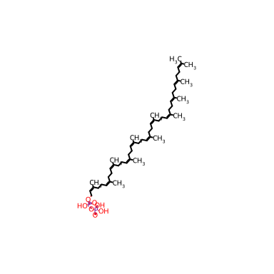 CC(C)=CCC/C(C)=C/CC/C(C)=C/CC/C(C)=C\CC/C(C)=C\CC/C(C)=C\CC/C(C)=C\CC/C(C)=C\CC/C(C)=C\CC/C(C)=C\CC/C(C)=C\COP(=O)(O)OP(=O)(O)O